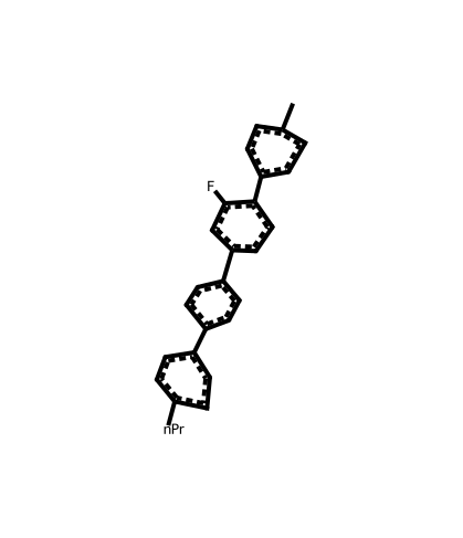 CCCc1ccc(-c2ccc(-c3ccc(-c4ccc(C)cc4)c(F)c3)cc2)cc1